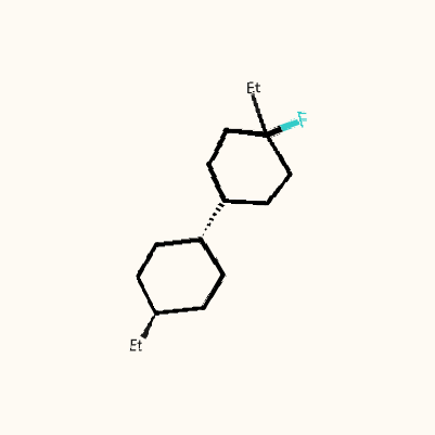 CCC1(F)CCC([C@H]2CC[C@H](CC)CC2)CC1